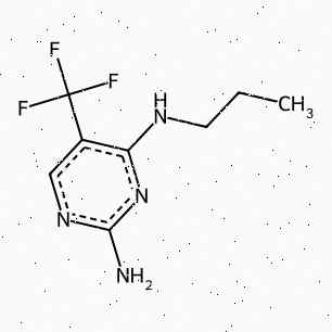 CCCNc1nc(N)ncc1C(F)(F)F